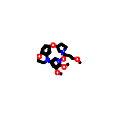 COCCC(=O)N1CCC(Oc2ccc3c(c2)N(c2cnc(OC)c(OC)c2)CCO3)C1